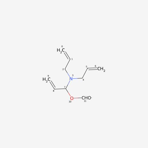 C=CCN(CC=C)C(C=C)O[C]=O